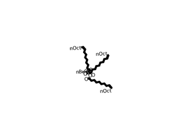 CCCCCCCC/C=C\CCCCCCCC(=O)[O][Ti](=[O])([O]CCCC)([C](=O)CCCCCCC/C=C\CCCCCCCC)[C](=O)CCCCCCC/C=C\CCCCCCCC